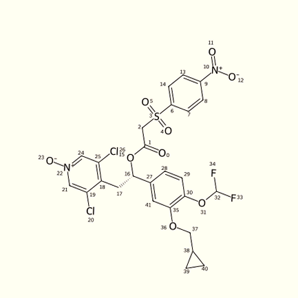 O=C(CS(=O)(=O)c1ccc([N+](=O)[O-])cc1)O[C@@H](Cc1c(Cl)c[n+]([O-])cc1Cl)c1ccc(OC(F)F)c(OCC2CC2)c1